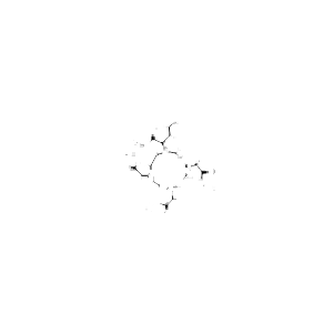 CC(C)(C)OC(=O)CN1CCN(CC(=O)OC(C)(C)C)CCN(C(CCC(=O)O)C(=O)OC(C)(C)C)CCN(CC(=O)OC(C)(C)C)CC1